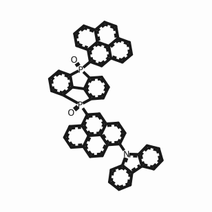 O=P1(c2cc3cccc4ccc5cccc2c5c43)c2cccc3c2-c2c1cccc2P3(=O)c1cc2ccc(-n3c4ccccc4c4ccccc43)c3ccc4cccc1c4c23